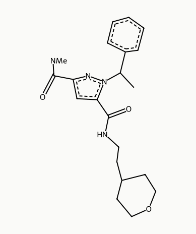 CNC(=O)c1cc(C(=O)NCCC2CCOCC2)n(C(C)c2ccccc2)n1